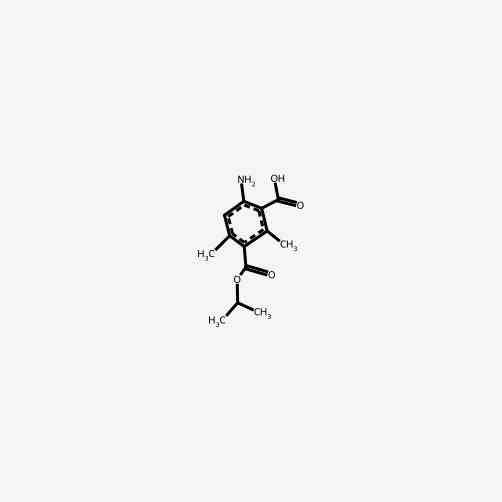 Cc1cc(N)c(C(=O)O)c(C)c1C(=O)OC(C)C